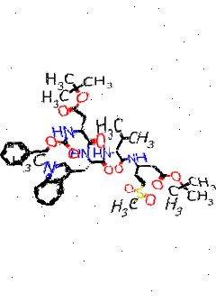 CC(C)[C@@H](NC(=O)[C@H](Cc1cn(C)c2ccccc12)NC(=O)[C@H](CC(=O)OC(C)(C)C)NC(=O)OCc1ccccc1)C(=O)N[C@H](/C=C/S(C)(=O)=O)CC(=O)OC(C)(C)C